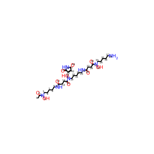 CC(=O)N(O)CCCCCNC(=O)CCC(=O)N(O)CCCCCNC(=O)CCC(=O)N(O)CCCCCN.O=C1C=CC(=O)N1